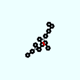 c1ccc(-c2ccc(N(c3ccc(-c4ccc(-c5cccc6ccccc56)cc4)cc3)c3ccccc3-c3cccc(-c4cccc5c4c4ccccc4n5-c4ccc(-c5ccccc5)cc4)c3)cc2)cc1